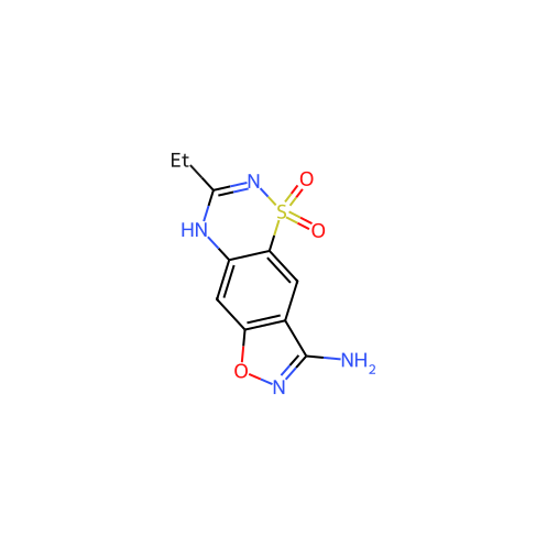 CCC1=NS(=O)(=O)c2cc3c(N)noc3cc2N1